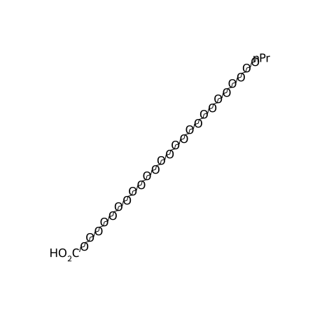 CCCOCCOCCOCCOCCOCCOCCOCCOCCOCCOCCOCCOCCOCCOCCOCCOCCOCCOCCOCCOCCOCCOCCOCCOCCOCCC(=O)O